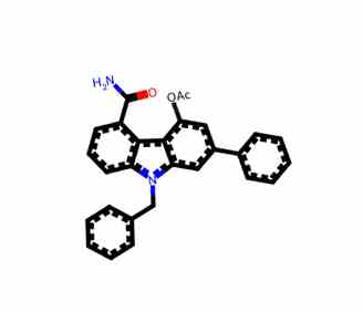 CC(=O)Oc1cc(-c2ccccc2)cc2c1c1c(C(N)=O)cccc1n2Cc1ccccc1